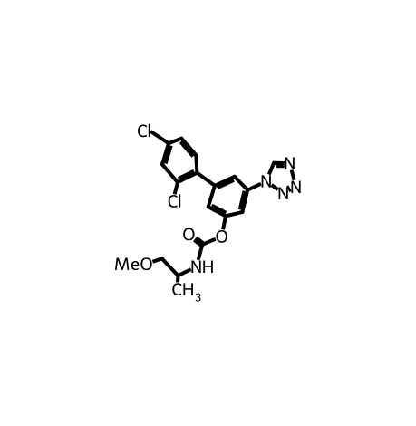 COCC(C)NC(=O)Oc1cc(-c2ccc(Cl)cc2Cl)cc(-n2cnnn2)c1